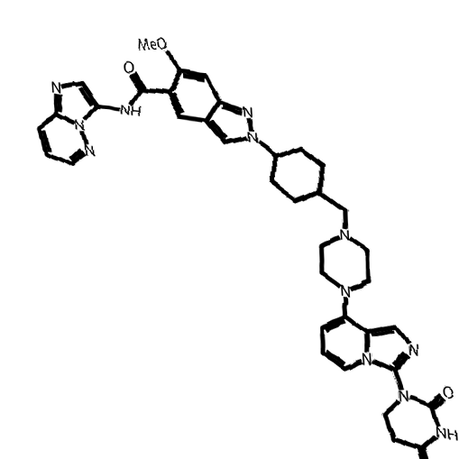 COc1cc2nn(C3CCC(CN4CCN(c5cccn6c(N7CCC(=O)NC7=O)ncc56)CC4)CC3)cc2cc1C(=O)Nc1cnc2cccnn12